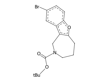 CC(C)(C)OC(=O)N1CCCc2oc3ccc(Br)cc3c2C1